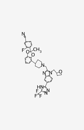 CC1(c2ccc(C#N)cc2F)Oc2cccc(C3CCN(Cc4nc5cc(-c6nnc(C(F)(F)F)[nH]6)ccc5n4CC4CCO4)CC3)c2O1